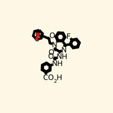 O=C(Nc1cccc(C(=O)O)c1)N[C@@H]1N=C(c2ccccc2F)c2ccccc2N(CC(=O)N2CC3CCC(CC3)C2)C1=O